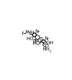 CC(CF)NCc1cc(N(C)C)c2c(c1O)C(=O)CC(C[C@@H](C(CO)N(C)C)[C@](O)(CO)C(=O)CC(N)=O)C2